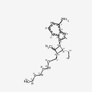 C=C1[C@@H](n2cnc3c(N)ncnc32)[C@H](CF)[C@H]1COPOPOPO